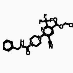 CCOC(=O)c1cc(C#N)c(N2CCN(C(=O)NCc3ccccc3)CC2)nc1C(F)(F)F